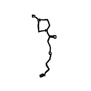 CCN1CCN(C(=O)CCOCCCC(C)(C)C)CC1